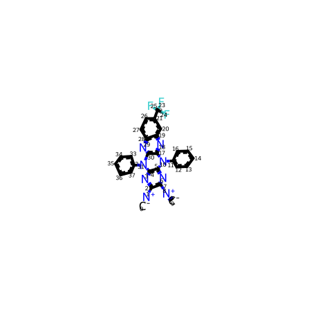 [C-]#[N+]c1nc2c(nc1[N+]#[C-])N(c1ccccc1)c1nc3cc(C(F)(F)F)ccc3nc1N2c1ccccc1